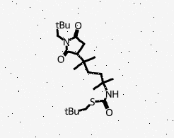 CC(C)(C)CSC(=O)NC(C)(C)CCC(C)(C)C1CC(=O)N(CC(C)(C)C)C1=O